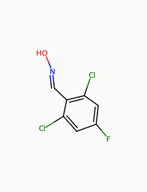 O/N=C/c1c(Cl)cc(F)cc1Cl